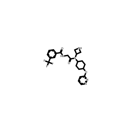 O=C(NCC(=O)N(C1CCC(Oc2cccnn2)CC1)C1CNC1)c1cccc(C(F)(F)F)c1